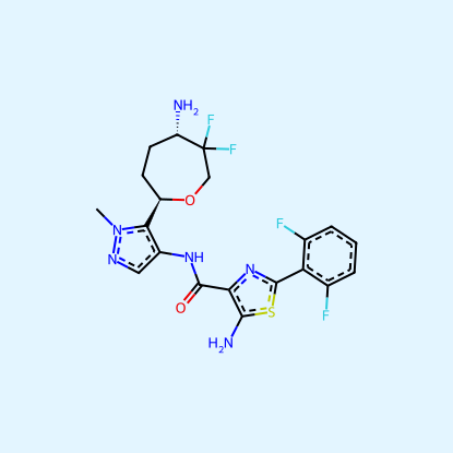 Cn1ncc(NC(=O)c2nc(-c3c(F)cccc3F)sc2N)c1[C@H]1CC[C@H](N)C(F)(F)CO1